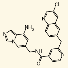 Nc1cc(CNC(=O)c2ccnc(Cc3ccc4ncc(Cl)cc4c3)c2)cn2cncc12